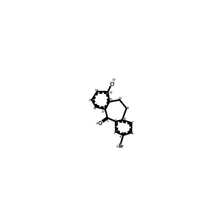 O=C1c2cc(Br)ccc2CCc2c(Cl)cccc21